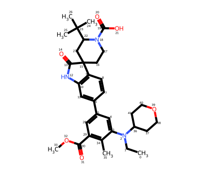 CCN(c1cc(-c2ccc3c(c2)NC(=O)C32CCN(C(=O)O)C(C(C)(C)C)C2)cc(C(=O)OC)c1C)C1CCOCC1